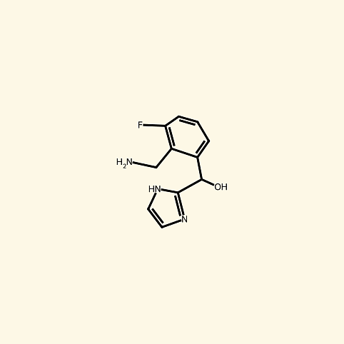 NCc1c(F)cccc1C(O)c1ncc[nH]1